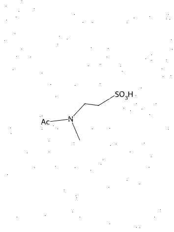 CC(=O)N(C)CCS(=O)(=O)O